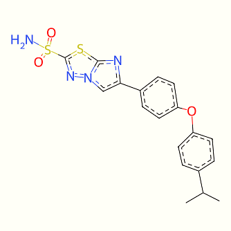 CC(C)c1ccc(Oc2ccc(-c3cn4nc(S(N)(=O)=O)sc4n3)cc2)cc1